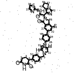 O=C1CCC(c2ccc(CN3C[C@@H]4C[C@H]3CN4c3ccc(-c4cc(F)c5c(c4)C(=O)N(C(C(=O)Nc4nccs4)c4ncn6c4CCC6)C5)cc3)cc2)C(=O)N1